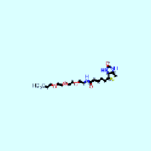 O=C(O)CCOCCOCCOCCNC(=O)CCCCC1SCC2NC(=O)NC21